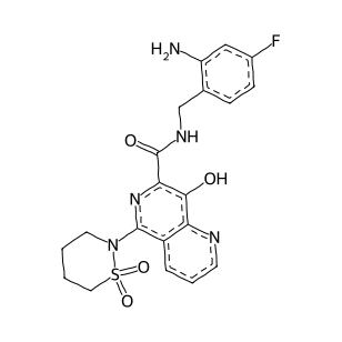 Nc1cc(F)ccc1CNC(=O)c1nc(N2CCCCS2(=O)=O)c2cccnc2c1O